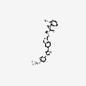 CC(C)c1ccccc1NC(=S)NN=C1CCc2cc(-c3ncn(-c4ccc(OC(F)(F)F)cc4)n3)ccc21